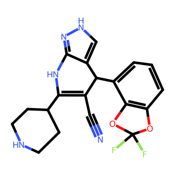 N#CC1=C(C2CCNCC2)Nc2n[nH]cc2C1c1cccc2c1OC(F)(F)O2